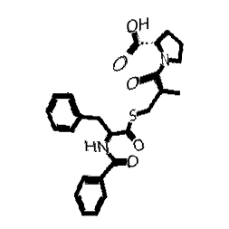 CC(CSC(=O)C(Cc1ccccc1)NC(=O)c1ccccc1)C(=O)N1CCC[C@H]1C(=O)O